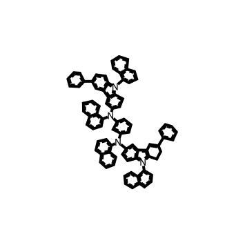 C1=C(c2ccccc2)CCc2c1c1cc(N(c3cccc(N(c4ccc5c(c4)c4cc(-c6ccccc6)ccc4n5-c4cccc5ccccc45)c4cccc5ccccc45)c3)c3cccc4ccccc34)ccc1n2-c1cccc2ccccc12